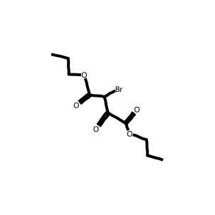 CCCOC(=O)C(=O)C(Br)C(=O)OCCC